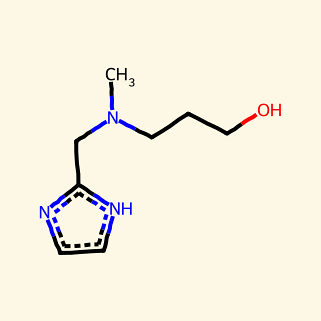 CN(CCCO)Cc1ncc[nH]1